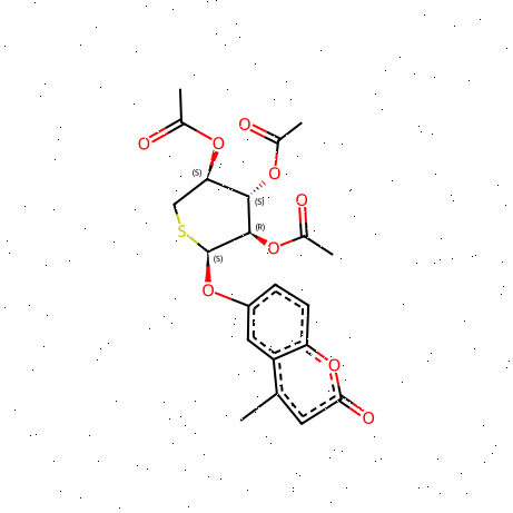 CC(=O)O[C@@H]1[C@@H](OC(C)=O)[C@@H](Oc2ccc3oc(=O)cc(C)c3c2)SC[C@H]1OC(C)=O